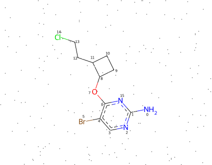 Nc1ncc(Br)c(OC2CCC2CCCl)n1